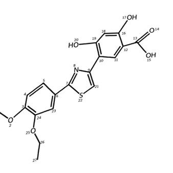 CCOc1ccc(-c2nc(-c3cc(C(=O)O)c(O)cc3O)cs2)cc1OCC